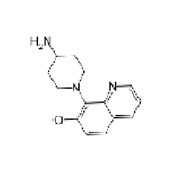 NC1CCN(c2c([O])ccc3cccnc23)CC1